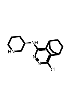 Clc1nnc(N[C@@H]2CCCNC2)c2c1C1CCC2CC1